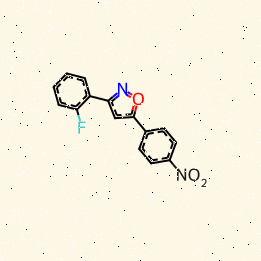 O=[N+]([O-])c1ccc(-c2cc(-c3ccccc3F)no2)cc1